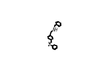 CN(N=Cc1ccc(CNCc2ccccc2)cc1)c1ccccc1